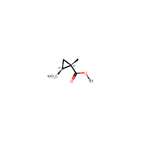 CCOC(=O)[C@@]1(C)C[C@@H]1C(=O)O